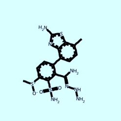 Cc1ccc(-c2ccc([S+](C)[O-])c(S(N)(=O)=O)c2/C(N)=N/NN)c2nc(N)sc12